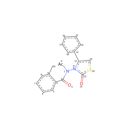 CC(=O)N(C(=O)c1ccccc1C)n1c(-c2ccccc2)csc1=O